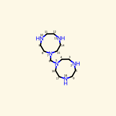 C1CNCCN(CN2CCNCCNCC2)CCN1